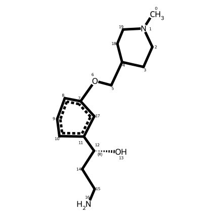 CN1CCC(COc2cccc([C@H](O)CCN)c2)CC1